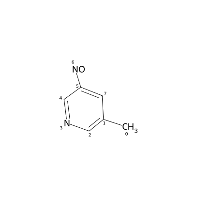 Cc1cncc(N=O)c1